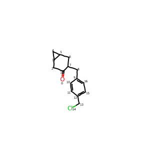 O=C1CC2CC2CC1Cc1ccc(CCl)cc1